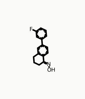 ON=C1CCCc2cc(-c3cccc(F)c3)ccc21